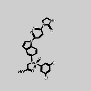 O=C(O)CN(c1ccc2c(ccn2-c2ccc(N3CCNC3=O)nn2)c1)S(=O)(=O)c1cc(Cl)cc(Cl)c1